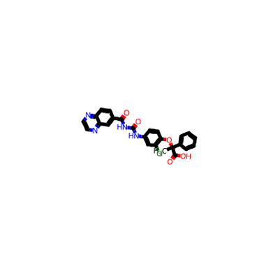 CC(Oc1ccc(NC(=O)NC(=O)c2ccc3nccnc3c2)cc1Cl)(C(=O)O)c1ccccc1